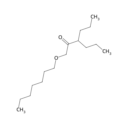 CCCCCCCOCC(=O)C(CCC)CCC